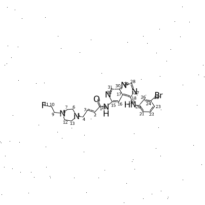 O=C(/C=C/CN1CCN(CCF)CC1)Nc1cc2c(Nc3cccc(Br)c3)ncnc2cn1